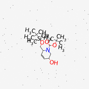 CC(C)(C)OC(=O)N1CC(O)C=CC1CO[Si](C)(C)C(C)(C)C